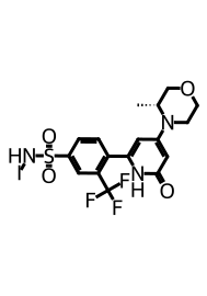 C[C@@H]1COCCN1c1cc(-c2ccc(S(=O)(=O)NI)cc2C(F)(F)F)[nH]c(=O)c1